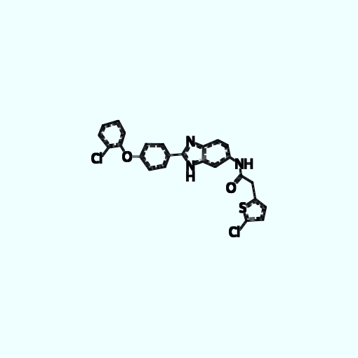 O=C(Cc1ccc(Cl)s1)Nc1ccc2nc(-c3ccc(Oc4ccccc4Cl)cc3)[nH]c2c1